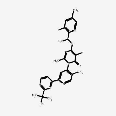 Cc1cnc(C(C)Oc2cc(C)n(-c3cc(-c4ccnc(C(C)(C)O)n4)ncc3C)c(=O)c2Cl)c(F)c1